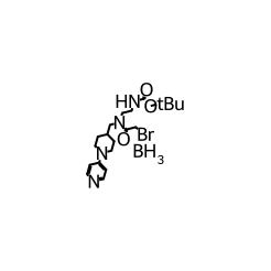 B.CC(C)(C)OC(=O)NCCN(CC1CCN(c2ccncc2)CC1)C(=O)CBr